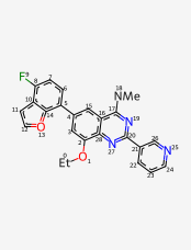 CCOc1cc(-c2ccc(F)c3ccoc23)cc2c(NC)nc(-c3cccnc3)nc12